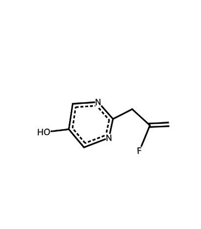 C=C(F)Cc1ncc(O)cn1